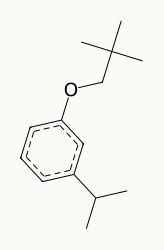 CC(C)c1cccc(OCC(C)(C)C)c1